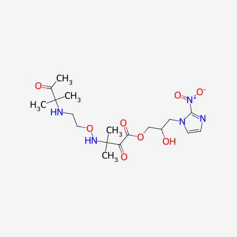 CC(=O)C(C)(C)NCCONC(C)(C)C(=O)C(=O)OCC(O)Cn1ccnc1[N+](=O)[O-]